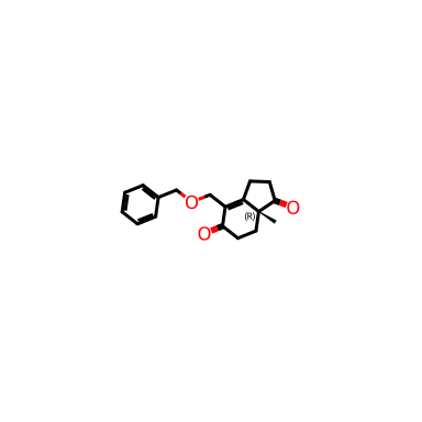 C[C@@]12CCC(=O)C(COCc3ccccc3)=C1CCC2=O